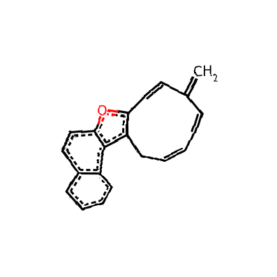 C=C1/C=C\C=C/Cc2c(oc3ccc4ccccc4c23)/C=C\1